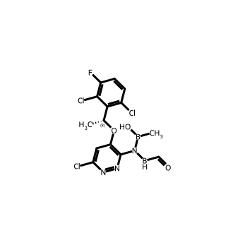 CB(O)N(BC=O)c1nnc(Cl)cc1O[C@H](C)c1c(Cl)ccc(F)c1Cl